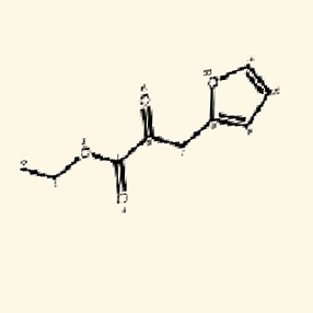 CCOC(=O)C(=O)Cc1ccco1